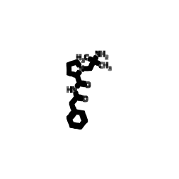 CC(C)(N)CN1CCCC1C(=O)NC(=O)Cc1ccccc1